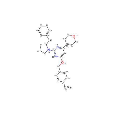 COc1ccc(COc2cc(C3=CCOCC3)nc(N3CCCC3Cc3ccccc3)n2)cc1